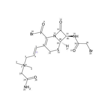 C[N+](C)(C/C=C/C1=C(C(=O)Br)N2C(=O)[C@@H](NC(=O)CBr)[C@H]2SC1)CC(N)=O